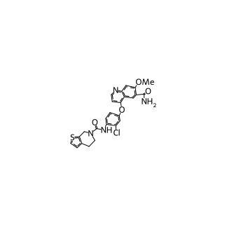 COc1cc2nccc(Oc3ccc(NC(=O)N4CCc5ccsc5C4)c(Cl)c3)c2cc1C(N)=O